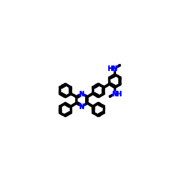 CNc1ccc(NC)c(-c2ccc(-c3nc(-c4ccccc4)c(-c4ccccc4)nc3-c3ccccc3)cc2)c1